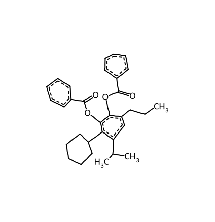 CCCc1cc(C(C)C)c(C2CCCCC2)c(OC(=O)c2ccccc2)c1OC(=O)c1ccccc1